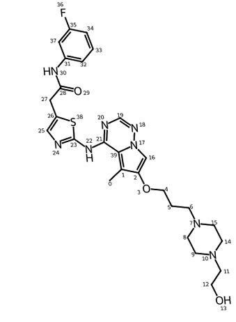 Cc1c(OCCCN2CCN(CCO)CC2)cn2ncnc(Nc3ncc(CC(=O)Nc4cccc(F)c4)s3)c12